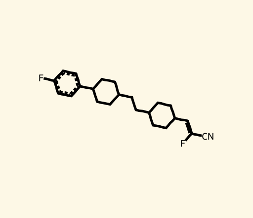 N#CC(F)=CC1CCC(CCC2CCC(c3ccc(F)cc3)CC2)CC1